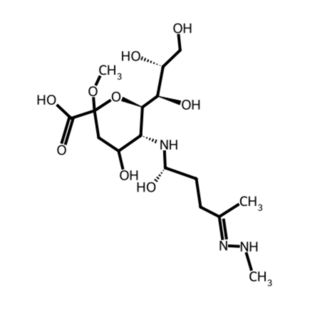 CN/N=C(\C)CC[C@H](O)N[C@@H]1C(O)CC(OC)(C(=O)O)O[C@H]1[C@H](O)[C@H](O)CO